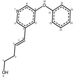 OCC/C=C/c1cncc(Oc2ccccc2)c1